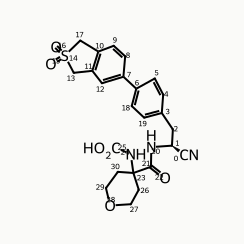 N#C[C@H](Cc1ccc(-c2ccc3c(c2)CS(=O)(=O)C3)cc1)NC(=O)C1(NC(=O)O)CCOCC1